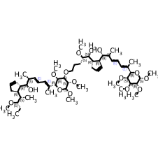 CC[C@H](OC)[C@@H](C)[C@H]1CC#C[C@@H]1[C@H](O)[C@@H](C)/C=C/C=C(\C)[C@H]1O[C@H](OC)[C@@H](OC)[C@@H](OCCC[C@H](OC)[C@@H](C)[C@H]2CC#C[C@@H]2[C@H](O)[C@@H](C)/C=C/C=C(\C)[C@H]2O[C@H](OC)[C@H](OC)[C@@H](OC)[C@H]2OC)[C@@H]1OC